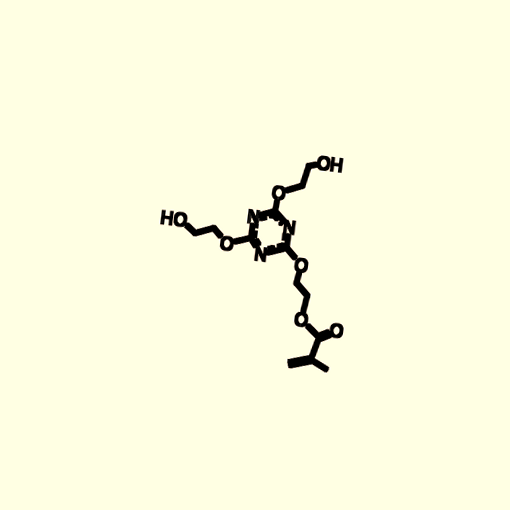 C=C(C)C(=O)OCCOc1nc(OCCO)nc(OCCO)n1